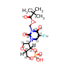 CC(C)(C)C(=O)OCn1c(=O)c(F)cn(C2CO[C@@H]3COP(=O)(O)O[C@@H]23)c1=O